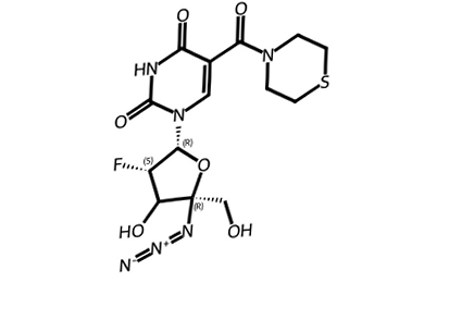 [N-]=[N+]=N[C@]1(CO)O[C@@H](n2cc(C(=O)N3CCSCC3)c(=O)[nH]c2=O)[C@@H](F)C1O